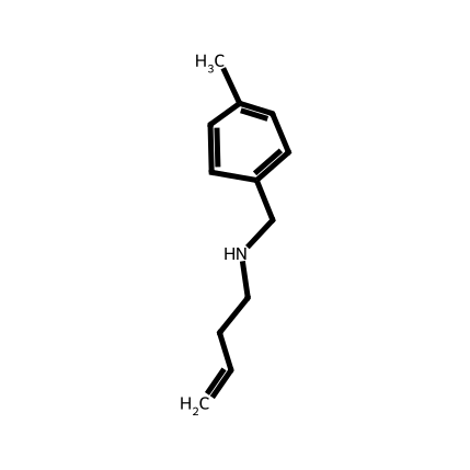 C=CCCNCc1ccc(C)cc1